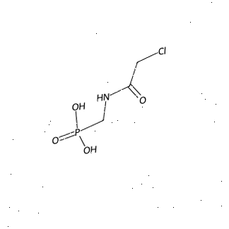 O=C(CCl)NCP(=O)(O)O